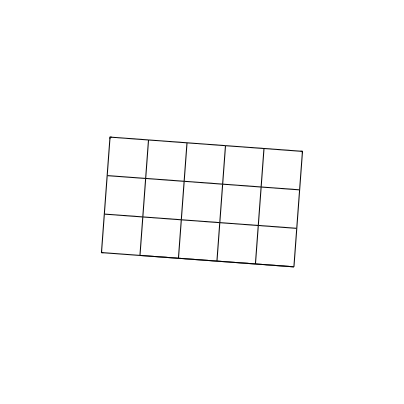 C1C2C3C4C5C6C7C48CC4C9CC%10C%11C%12C1C21C35C62C%121C%111C9%10C48C721